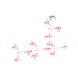 OB(O)O.OB(O)O.OB(O)O.OB(O)O.[SrH2]